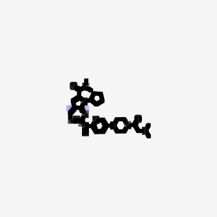 C=C(/N=C1\C(=C/N)C=C(C(=O)N(C)C)N1C1CCCC1)Nc1ccc(N2CCN(C(=O)CN(C)C)CC2)cn1